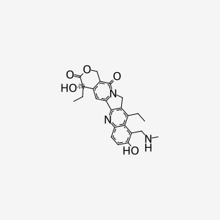 CCc1c2c(nc3ccc(O)c(CNC)c13)-c1cc3c(c(=O)n1C2)COC(=O)[C@]3(O)CC